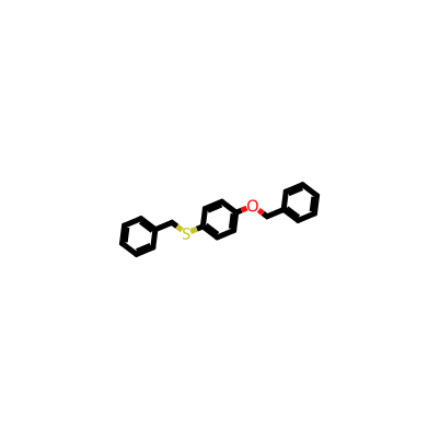 c1ccc(COc2ccc(SCc3ccccc3)cc2)cc1